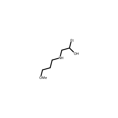 CCC(O)CNCCCOC